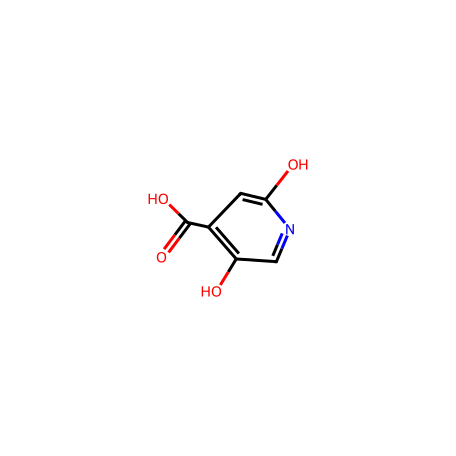 O=C(O)c1cc(O)ncc1O